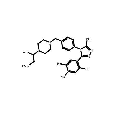 CCC[C](CC(=O)O)N1CCN(Cc2ccc(-n3c(O)nnc3-c3cc(C(C)C)c(O)cc3O)cc2)CC1